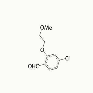 COCCOc1cc(Cl)ccc1C=O